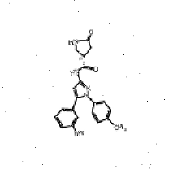 CCCc1cccc(-c2cc(NC(=O)[C@@H]3CNC(=O)C3)nn2-c2ccc(C)cc2)c1